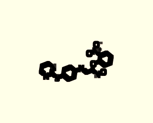 O=NC(C=Nc1ccc(Sc2ncccn2)cc1)Oc1ccccc1[N+](=O)[O-]